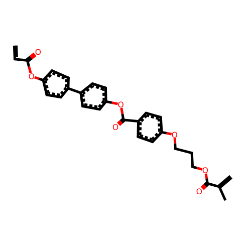 C=CC(=O)Oc1ccc(-c2ccc(OC(=O)c3ccc(OCCCOC(=O)C(=C)C)cc3)cc2)cc1